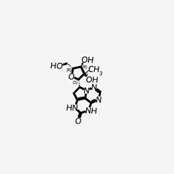 C[C@@]1(O)[C@H](O)[C@@H](CO)O[C@H]1C1CC2=C3C(=NC=NN31)NC(=O)N2